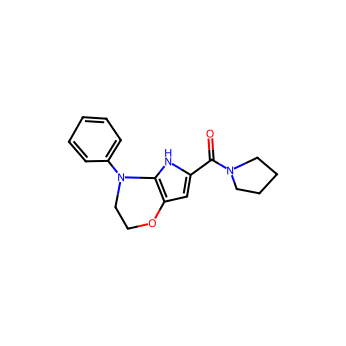 O=C(c1cc2c([nH]1)N(c1ccccc1)CCO2)N1CCCC1